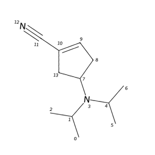 CC(C)N(C(C)C)C1CC=C(C#N)C1